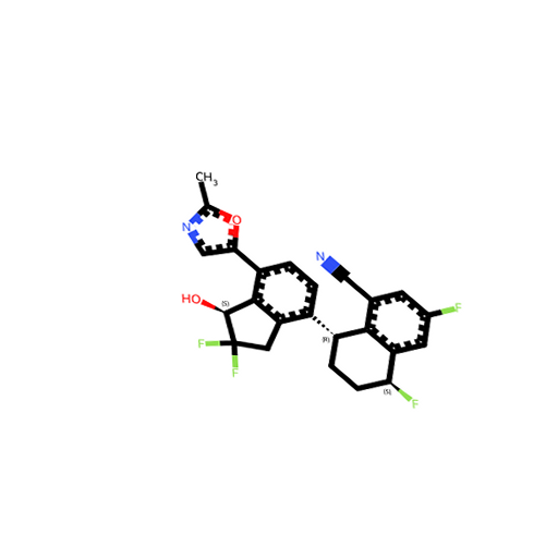 Cc1ncc(-c2ccc([C@H]3CC[C@H](F)c4cc(F)cc(C#N)c43)c3c2[C@H](O)C(F)(F)C3)o1